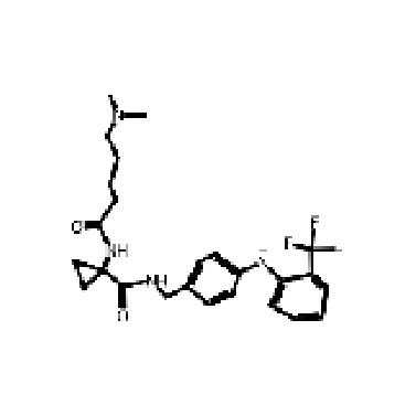 CN(C)CCCCC(=O)NC1(C(=O)NCc2ccc(Nc3ccccc3C(F)(F)F)cc2)CC1